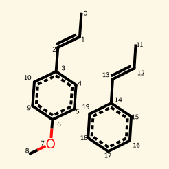 CC=Cc1ccc(OC)cc1.CC=Cc1ccccc1